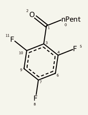 CCCCCC(=O)c1c(F)cc(F)cc1F